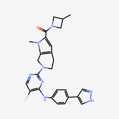 CC1CN(C(=O)c2cc3c(n2C)CN(c2ncc(F)c(Nc4ccc(-c5cn[nH]c5)cc4)n2)CC3)C1